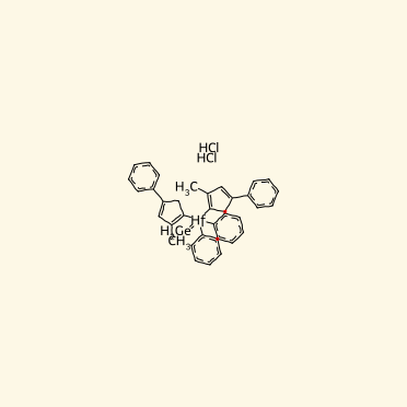 CC1=[C]([Hf](=[GeH2])([C]2=C(C)C=C(c3ccccc3)C2)([c]2ccccc2)[c]2ccccc2)CC(c2ccccc2)=C1.Cl.Cl